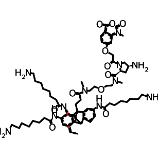 C/C=C\C1=C(/C=N/C(=O)CCCCCCCN)C2(CCC(=O)N(C)CCOCCN(C)C(=O)[C@@H]3C[C@H](N)CN3C(=O)COc3ccc4c(=O)oc(=O)n(C)c4c3)c3cc(NC(=O)CCCCCCCN)ccc3C1c1ccc(NC(=O)CCCCCCCN)cc12